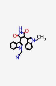 CCn1cc(C2=C(c3cn(CC#N)c4ccccc34)C(=O)NC2=O)c2ccccc21